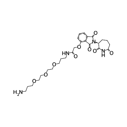 NCCCOCCOCCOCCCNC(=O)COc1cccc2c1C(=O)N([C@H]1CCCC(=O)NC1=O)C2=O